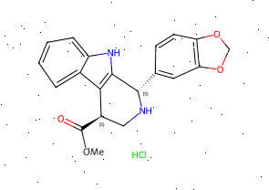 COC(=O)[C@@H]1CN[C@@H](c2ccc3c(c2)OCO3)c2[nH]c3ccccc3c21.Cl